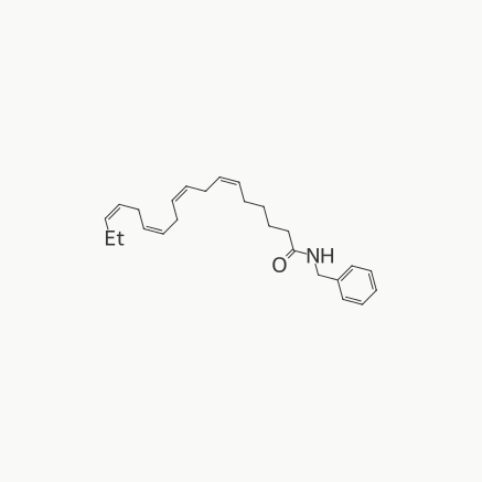 CC/C=C\C/C=C\C/C=C\C/C=C\CCCCC(=O)NCc1ccccc1